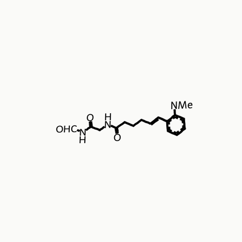 CNc1ccccc1/C=C/CCCC(=O)NCC(=O)NC=O